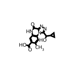 Cc1cc2c(cc1C(=O)O)[nH]c(=O)c1nnc(C(O)C3CC3)n12